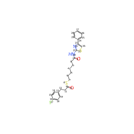 O=C(CCCCCCSC(=O)CCc1ccc(F)cc1)Nc1nc(-c2ccccc2)cs1